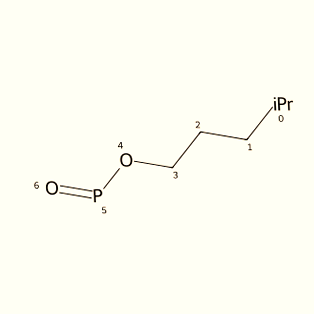 CC(C)CCCOP=O